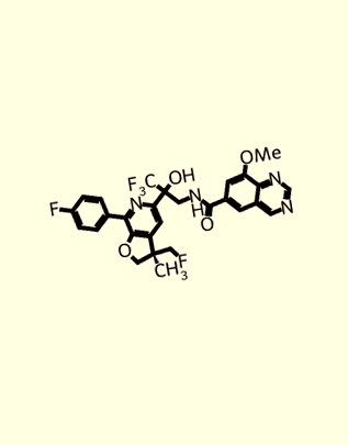 COc1cc(C(=O)NCC(O)(c2cc3c(c(-c4ccc(F)cc4)n2)OC[C@@]3(C)CF)C(F)(F)F)cc2cncnc12